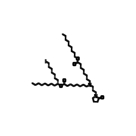 CCCCCCCCCOC(=O)CCCCCCCN(CCCCCCCC(=O)OC(CCCCCCCC)CCCCCCCI)CCCN1CCCC1=O